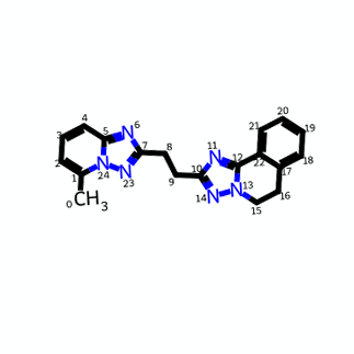 Cc1cccc2nc(CCc3nc4n(n3)CCc3ccccc3-4)nn12